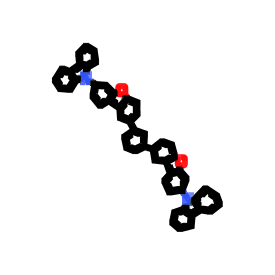 c1cc(-c2ccc3oc4cc(-n5c6ccccc6c6ccccc65)ccc4c3c2)cc(-c2ccc3oc4cc(-n5c6ccccc6c6ccccc65)ccc4c3c2)c1